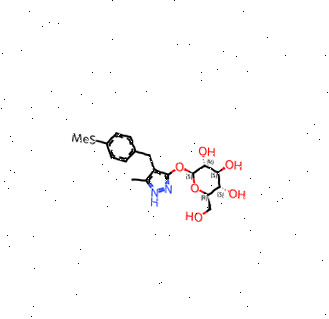 CSc1ccc(Cc2c(O[C@@H]3O[C@H](CO)[C@@H](O)[C@H](O)[C@H]3O)n[nH]c2C)cc1